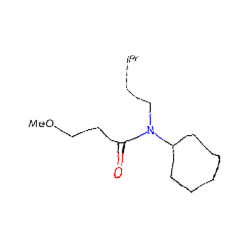 COCCC(=O)N(CCC(C)C)C1CCCCC1